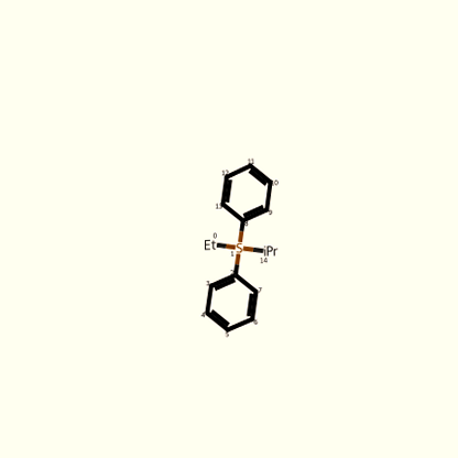 CCS(c1ccccc1)(c1ccccc1)C(C)C